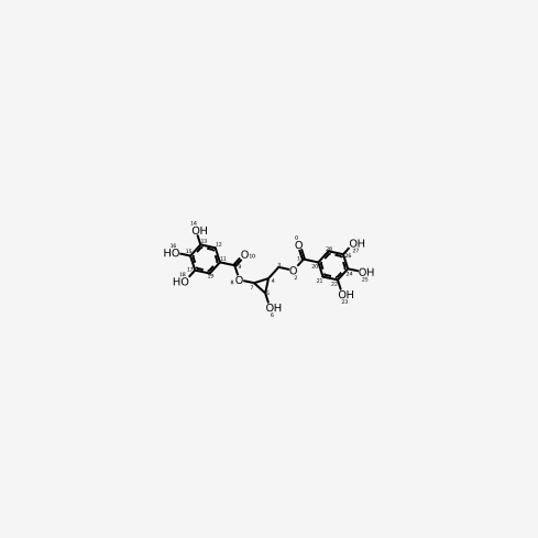 O=C(OCC1C(O)C1OC(=O)c1cc(O)c(O)c(O)c1)c1cc(O)c(O)c(O)c1